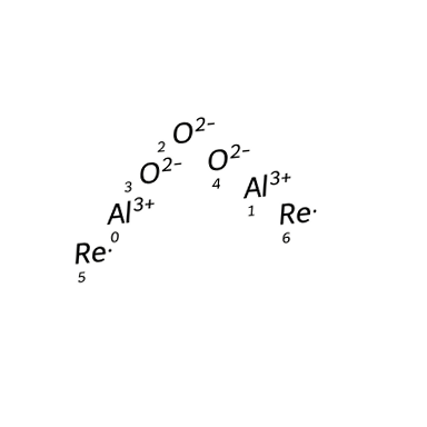 [Al+3].[Al+3].[O-2].[O-2].[O-2].[Re].[Re]